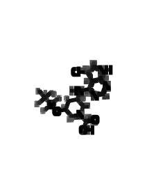 CC(C)(C)[Si](C)(C)OC1CC(Nc2ncnc3[nH]cc(Cl)c23)CN(C(=O)O)C1